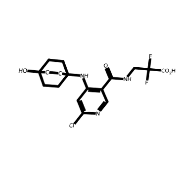 O=C(NCC(F)(F)C(=O)O)c1cnc(Cl)cc1NC12CCC(O)(CC1)CC2